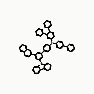 c1ccc(-c2ccc(N(c3ccc(-c4cc(-c5ccc6ccccc6c5)cc(-n5c6ccccc6c6ccccc65)c4)cc3)c3ccc(-c4ccccc4)c(-c4ccccc4)c3)cc2)cc1